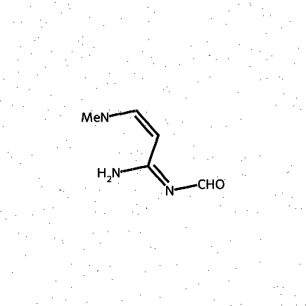 CN/C=C\C(N)=N/C=O